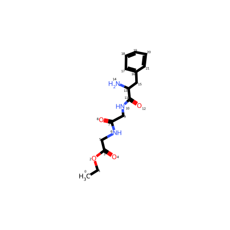 CCOC(=O)CNC(=O)CNC(=O)C(N)Cc1ccccc1